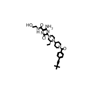 CC[C@H]1CN(c2nc(N)c(C(=O)NCCO)nc2Cl)CCN1C1CCN(C(=O)c2ccc(C#CC(C)(C)C)cc2)CC1